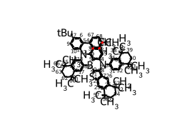 Cc1ccc(-c2cc(C(C)(C)C)ccc2N2c3cc4c(cc3B3c5sc6cc7c(cc6c5N(c5ccc6c(c5)C(C)(C)CCC6(C)C)c5cc(C)cc2c53)C(C)(C)CCC7(C)C)C(C)(C)CCC4(C)C)cc1